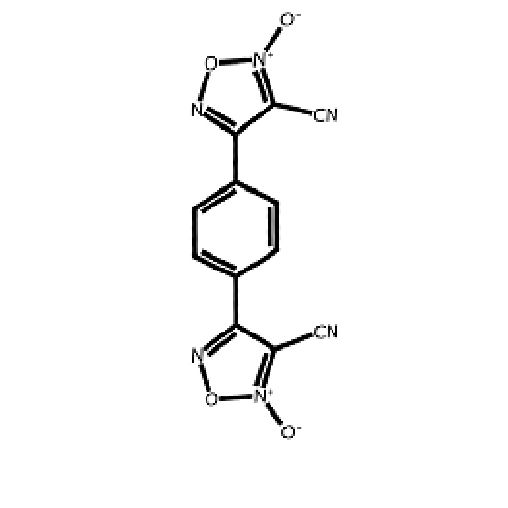 N#Cc1c(-c2ccc(-c3no[n+]([O-])c3C#N)cc2)no[n+]1[O-]